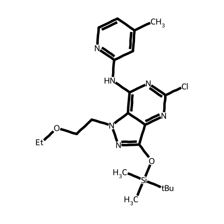 CCOCCn1nc(O[Si](C)(C)C(C)(C)C)c2nc(Cl)nc(Nc3cc(C)ccn3)c21